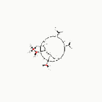 CC(=O)N1CCN2CCN(C(C)=O)CCN(C(=O)C(F)(F)F)CCN(CCN(C(C)=O)CC1)CCN(C(=O)C(F)(F)F)CCN(C(C)=O)CC2